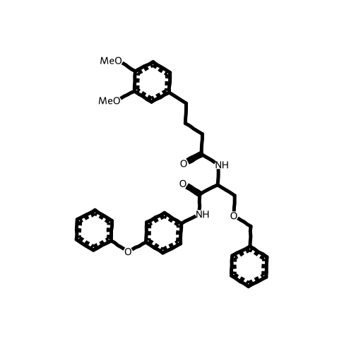 COc1ccc(CCCC(=O)NC(COCc2ccccc2)C(=O)Nc2ccc(Oc3ccccc3)cc2)cc1OC